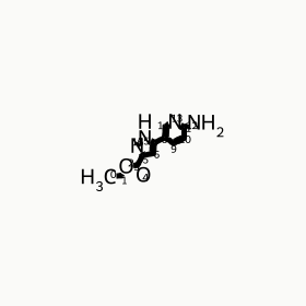 CCOC(=O)c1cc(-c2ccc(N)nc2)[nH]n1